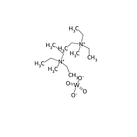 CC[N+](C)(CC)CC.CC[N+](C)(CC)CC.[O]=[W](=[O])([O-])[O-]